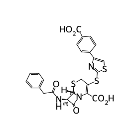 O=C(Cc1ccccc1)N[C@@H]1C(=O)N2C(C(=O)O)=C(Sc3nc(-c4ccc(C(=O)O)cc4)cs3)CS[C@@H]12